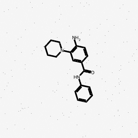 Nc1ccc(C(=O)Nc2ccccc2)cc1N1CC[CH]CC1